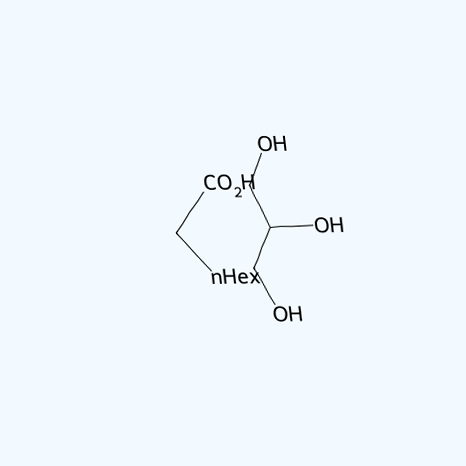 CCCCCCCC(=O)O.OCC(O)CO